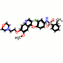 COc1cc2c(Oc3ccc(NS(=O)(=O)c4ccccc4C)cc3F)ccnc2cc1OCCN1CCOCC1